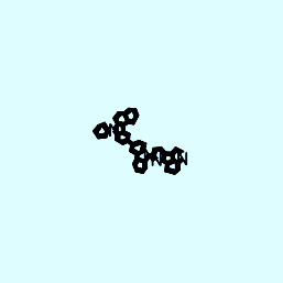 c1ccc(-n2c3ccc(-c4ccc5c(c4)c4ccccc4n5-c4ccc5c(n4)-c4cccc6nccc-5c46)cc3c3c4ccccc4ccc32)cc1